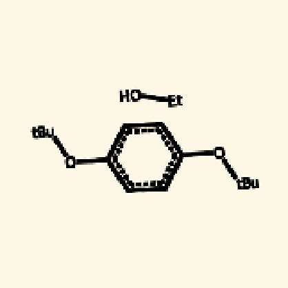 CC(C)(C)Oc1ccc(OC(C)(C)C)cc1.CCO